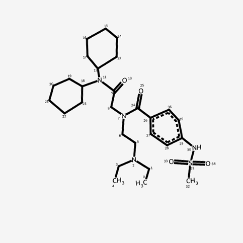 CCN(CC)CCN(CC(=O)N(C1CCCCC1)C1CCCCC1)C(=O)c1ccc(NS(C)(=O)=O)cc1